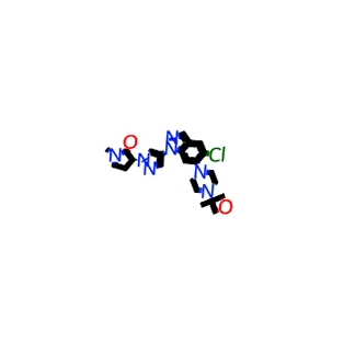 CN1CC[C@@H](n2cc(-n3ncc4cc(Cl)c(N5CCN(C6(C)COC6)CC5)cc43)cn2)C1=O